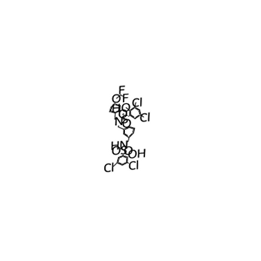 O=S(=O)(NCc1cccc(CN(Cc2ccc(OC(F)F)cc2)S(=O)(=O)c2cc(Cl)cc(Cl)c2O)c1)c1cc(Cl)cc(Cl)c1O